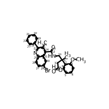 COc1ccccc1C(C)(CNC(=O)c1c(C)c(-c2ccccc2)nc2ccc(Br)cc12)CC(=O)O